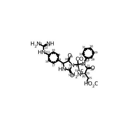 CC(=O)[C@](C(=O)O)(N1C(=O)NC(c2ccc(NC(=N)N)cc2)C1=O)N(C(=O)[C@H](N)CC(=O)O)c1ccccc1